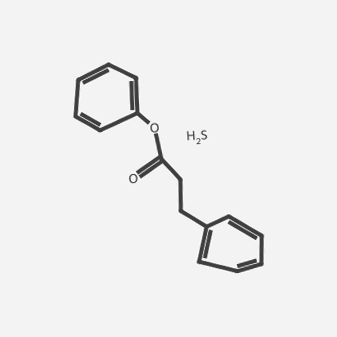 O=C(CCc1ccccc1)Oc1ccccc1.S